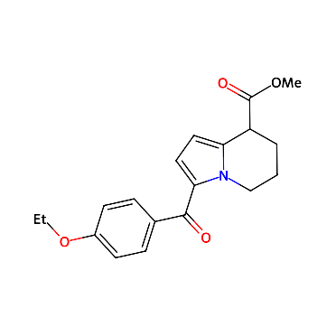 CCOc1ccc(C(=O)c2ccc3n2CCCC3C(=O)OC)cc1